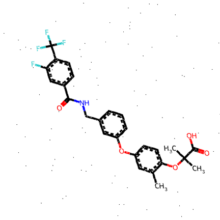 Cc1cc(Oc2cccc(CNC(=O)c3ccc(C(F)(F)F)c(F)c3)c2)ccc1OC(C)(C)C(=O)O